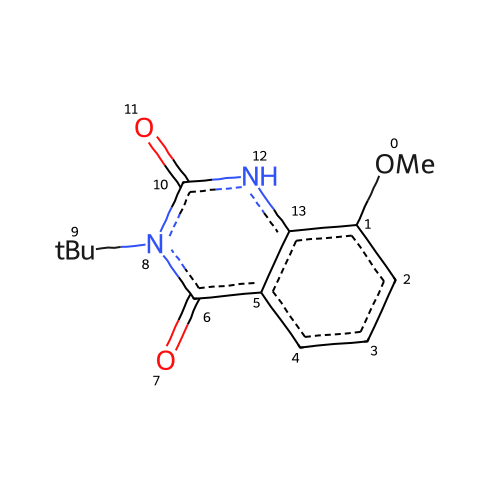 COc1cccc2c(=O)n(C(C)(C)C)c(=O)[nH]c12